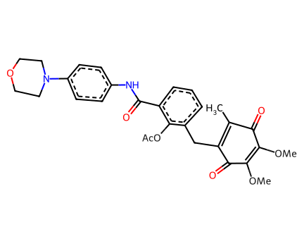 COC1=C(OC)C(=O)C(Cc2cccc(C(=O)Nc3ccc(N4CCOCC4)cc3)c2OC(C)=O)=C(C)C1=O